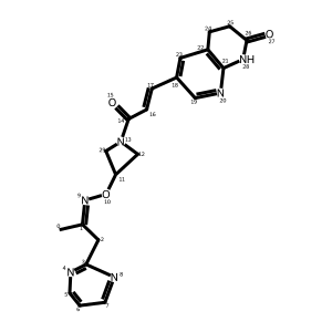 CC(Cc1ncccn1)=NOC1CN(C(=O)/C=C/c2cnc3c(c2)CCC(=O)N3)C1